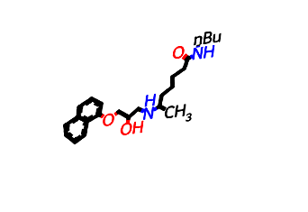 CCCCNC(=O)CCCCC(C)NCC(O)COc1cccc2ccccc12